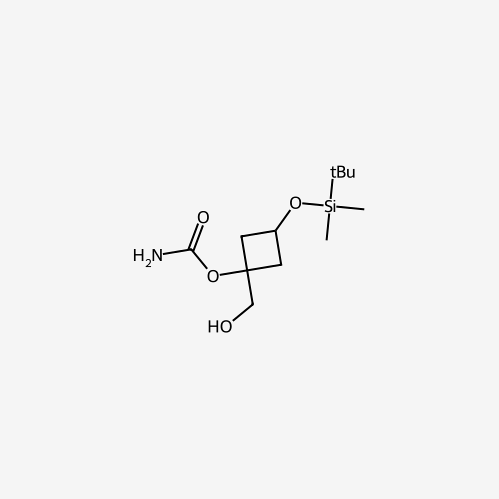 CC(C)(C)[Si](C)(C)OC1CC(CO)(OC(N)=O)C1